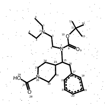 CCN(CC)CCN(C(=O)OC(C)(C)C)C(Cc1ccccc1)C1CCN(C(=O)O)CC1